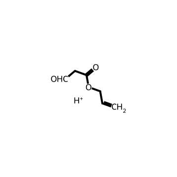 C=CCOC(=O)CC=O.[H+]